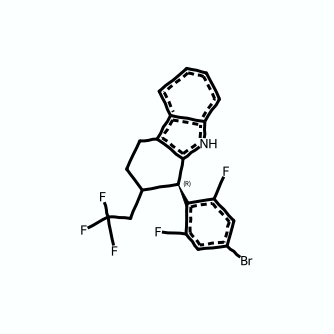 Fc1cc(Br)cc(F)c1[C@@H]1c2[nH]c3ccccc3c2CCC1CC(F)(F)F